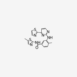 Cc1cnc(NC(=O)c2ccc(C)c(Nc3nccc(-c4nccs4)n3)c2)s1